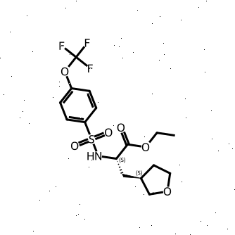 CCOC(=O)[C@H](C[C@H]1CCOC1)NS(=O)(=O)c1ccc(OC(F)(F)F)cc1